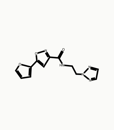 O=C(NCCn1nccn1)c1cc(-c2ccco2)on1